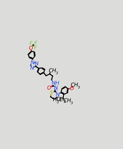 COc1ccc(N2/C(=N/C(=O)NCCC(C)Cc3ccc(-c4ncn(-c5ccc(OC(F)(F)F)cc5)n4)cc3)SCCC2C)c(C(C)C)c1